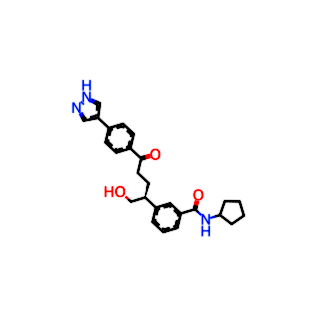 O=C(CC[C@H](CO)c1cccc(C(=O)NC2CCCC2)c1)c1ccc(-c2cn[nH]c2)cc1